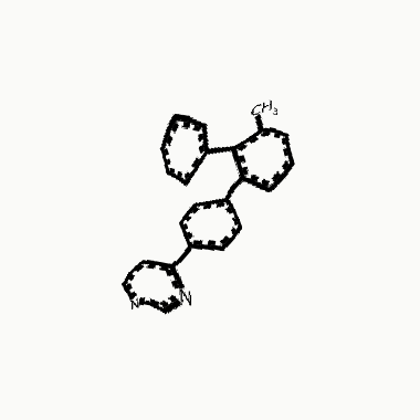 Cc1cccc(-c2ccc(-c3ccncn3)cc2)c1-c1ccccc1